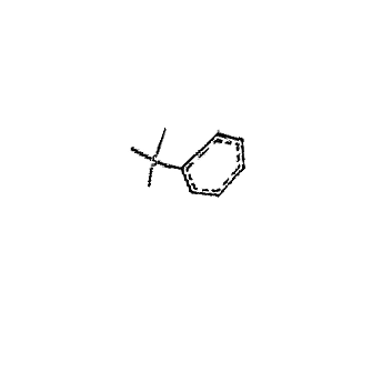 CS(C)(C)c1[c]cccc1